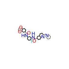 O=C(Nc1ccc(F)c(NC(=O)c2ccc3nc(CN4CCCCC4)ccc3c2)c1)c1ccc2c(c1)OCCO2